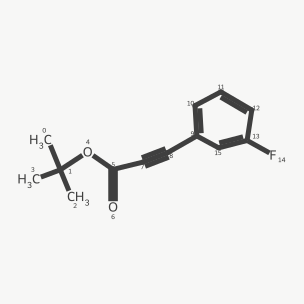 CC(C)(C)OC(=O)C#Cc1cccc(F)c1